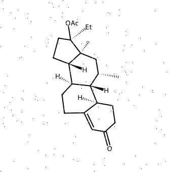 CC[C@@]1(OC(C)=O)CC[C@H]2[C@@H]3CCC4=CC(=O)CC[C@@H]4[C@H]3[C@@H](C)C[C@@]21C